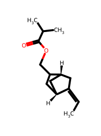 C/C=C1/C[C@@H]2C[C@H]1CC2COC(=O)C(C)C